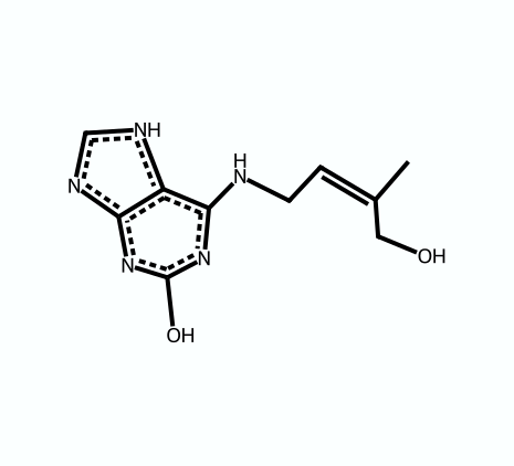 CC(=CCNc1nc(O)nc2nc[nH]c12)CO